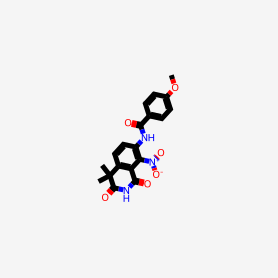 COc1ccc(C(=O)Nc2ccc3c(c2[N+](=O)[O-])C(=O)NC(=O)C3(C)C)cc1